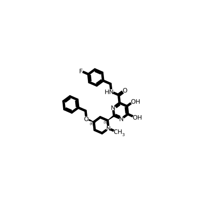 CN1CC[C@@H](OCc2ccccc2)C[C@H]1c1nc(O)c(O)c(C(=O)NCc2ccc(F)cc2)n1